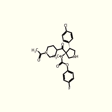 CC(=O)N1CCC(C(=O)[C@@]2(N(C)C(=O)Oc3ccc(F)cc3)CNC[C@H]2c2ccc(Cl)cc2)CC1